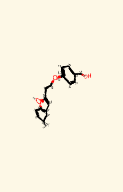 CC(C)c1ccc2oc(CCOc3ccc(CO)cc3)cc2c1